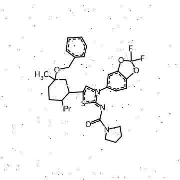 CC(C)C1CCC(C)(OCc2ccccc2)CC1c1cn(-c2ccc3c(c2)OC(F)(F)O3)/c(=N/C(=O)N2CCCC2)s1